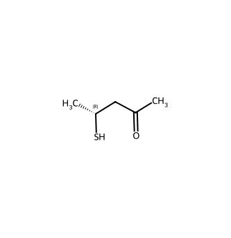 CC(=O)C[C@@H](C)S